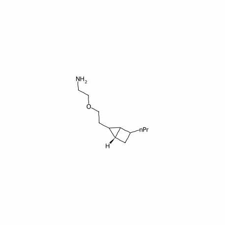 CCCC1C[C@@H]2C(CCOCCN)C12